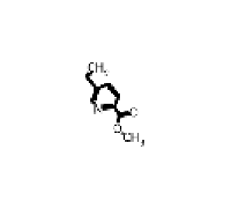 C=Cc1ccc(C(=O)OC)nc1